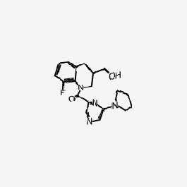 O=C(c1cncc(N2CCCC2)n1)N1CC(CO)Cc2cccc(F)c21